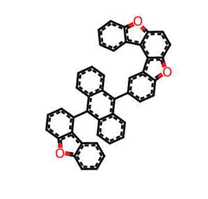 c1ccc2c(c1)oc1cccc(-c3c4ccccc4c(-c4ccc5oc6ccc7oc8ccccc8c7c6c5c4)c4ccccc34)c12